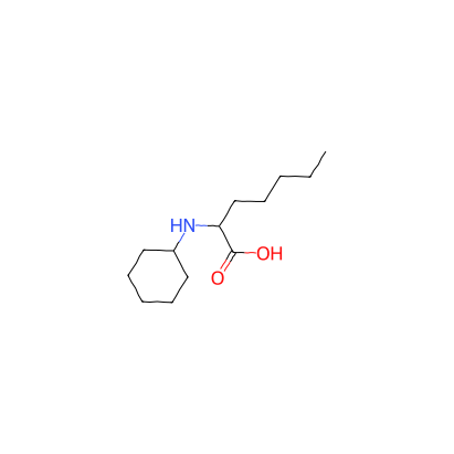 CCCCCC(NC1CCCCC1)C(=O)O